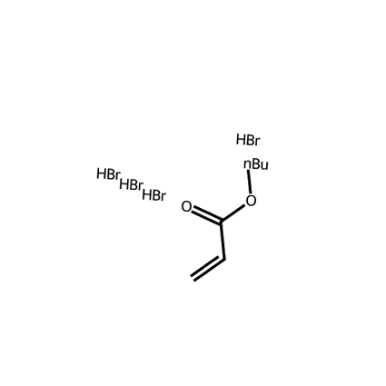 Br.Br.Br.Br.C=CC(=O)OCCCC